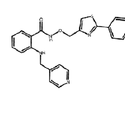 O=C(NOCc1csc(-c2ccccc2)n1)c1ccccc1NCc1ccncc1